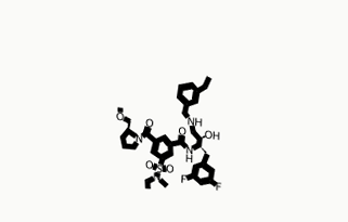 CCc1cccc(CNC[C@H](O)[C@H](Cc2cc(F)cc(F)c2)NC(=O)c2cc(C(=O)N3CCC[C@H]3COC)cc(S(=O)(=O)N(C)CC)c2)c1